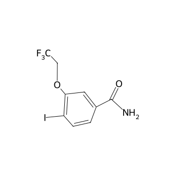 NC(=O)c1ccc(I)c(OCC(F)(F)F)c1